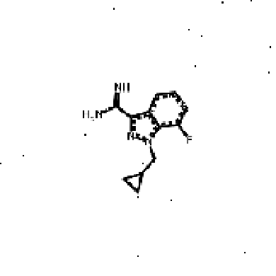 N=C(N)c1nn(CC2CC2)c2c(F)cccc12